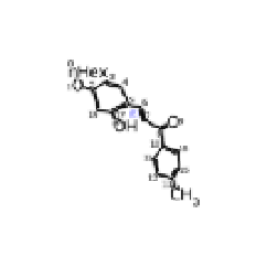 CCCCCCOc1ccc(/C=C/C(=O)c2ccc(C)cc2)c(O)c1